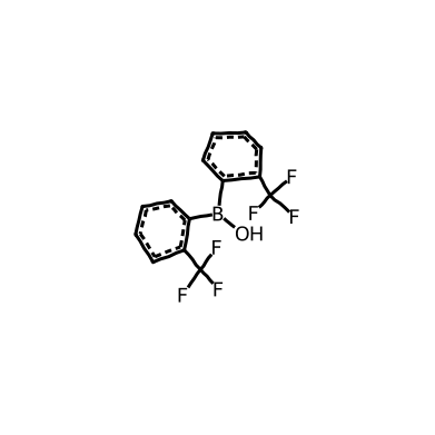 OB(c1ccccc1C(F)(F)F)c1ccccc1C(F)(F)F